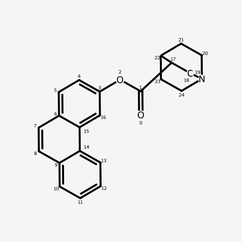 O=C(Oc1ccc2ccc3ccccc3c2c1)C1CN2CCC1CC2